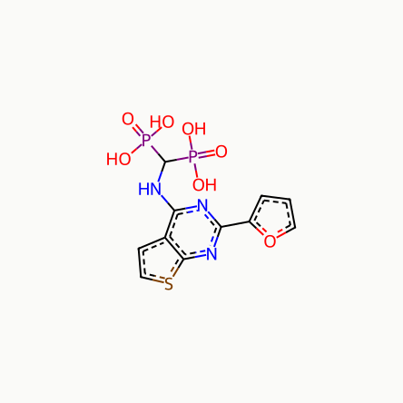 O=P(O)(O)C(Nc1nc(-c2ccco2)nc2sccc12)P(=O)(O)O